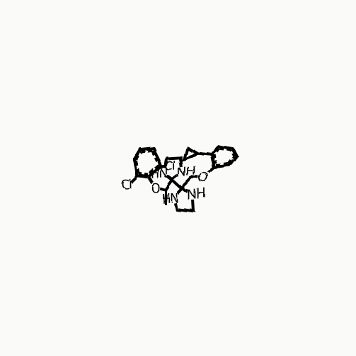 CC(Oc1c(Cl)cccc1Cl)C1(C2(COc3ccccc3C3CC3)NCCN2)NCCN1